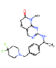 CCCn1c(=O)ccc2cnc(N[C@@H](C)c3ccc(CN4CCC(F)(F)CC4)cc3)nc21